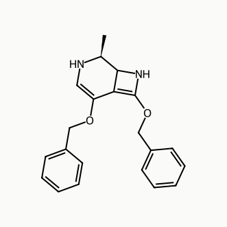 C[C@@H]1NC=C(OCc2ccccc2)C2=C(OCc3ccccc3)NC21